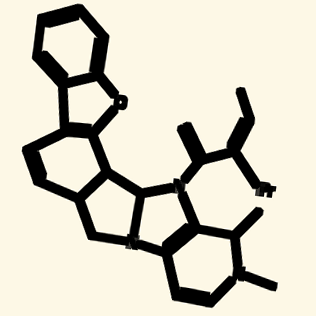 C=C(/C(=C\C)C(C)C)N1C2=C(C=CN(C)C2C)N2CC3C=Cc4c(oc5ccccc45)C3C21